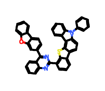 c1ccc(-n2c3ccccc3c3c4sc5c(-c6nc(-c7ccc8c(c7)oc7ccccc78)c7ccccc7n6)cccc5c4ccc32)cc1